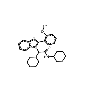 CCOc1ccccc1-c1nc2ccccc2n1C(C(=O)NC1CCCCC1)C1CCCCC1